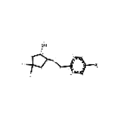 O[C@H]1CC(F)(F)CC1OCc1ncc(Br)cn1